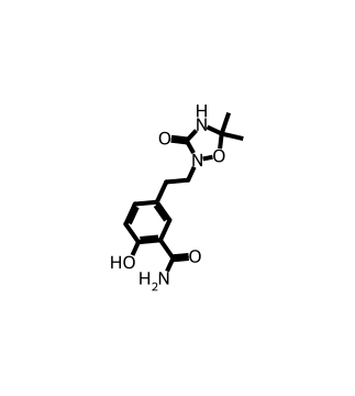 CC1(C)NC(=O)N(CCc2ccc(O)c(C(N)=O)c2)O1